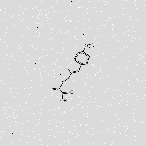 C=C(CCC(F)=Cc1ccc(OC)cc1)C(=O)O